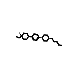 CCCCC[C@H]1CC[C@H](c2ccc(C3CCC(F)(CC)CC3)cc2)CC1